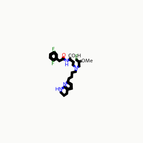 COC(CF)CN(CCCCc1ccc2c(n1)NCCC2)CCC(NC(=O)Cc1cc(F)ccc1F)C(=O)O